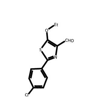 CCOc1sc(-c2ccc(Cl)cc2)nc1C=O